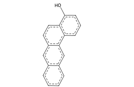 Oc1cccc2c1ccc1cc3ccccc3cc12